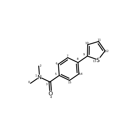 CN(C)C(=O)c1ccc(-c2cc[c]s2)cc1